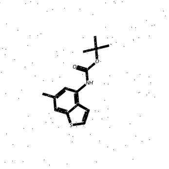 Cc1cc(NC(=O)OC(C)(C)C)c2ccsc2c1